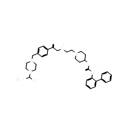 CC(C)N1CCN(Cc2ccc(C(=O)CNCCN3CCC(OC(=O)Nc4ccccc4-c4ccccc4)CC3)cc2)CC1